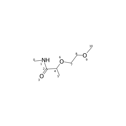 CNC(=O)C(C)OCCOC